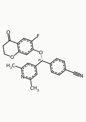 Cc1cc([C@H](Oc2cc3c(cc2F)C(=O)CCO3)c2ccc(C#N)cc2)cc(C)n1